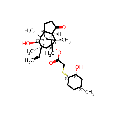 C=C[C@]1(C)C[C@@H](OC(=O)CS[C@@H]2CC[C@@H](C)C[C@H]2O)[C@]2(C)C(C)CC[C@]3(CCC(=O)[C@H]32)[C@@H](C)[C@@H]1O